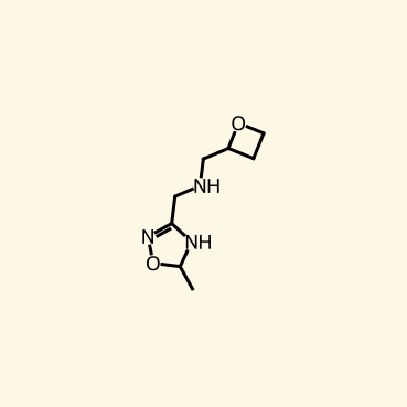 CC1NC(CNCC2CCO2)=NO1